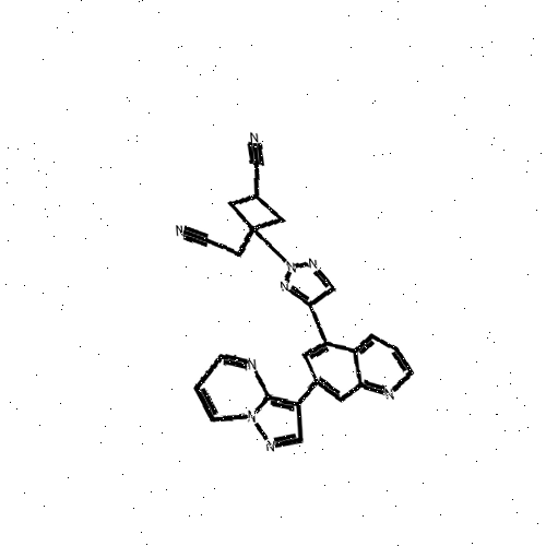 N#CCC1(n2ncc(-c3cc(-c4cnn5cccnc45)cc4ncccc34)n2)CC(C#N)C1